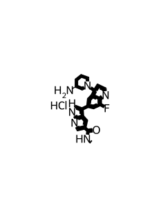 CNC(=O)c1cnc2[nH]cc(-c3cc(F)c4nccc(N5CCC[C@@H](N)C5)c4c3)c2c1.Cl